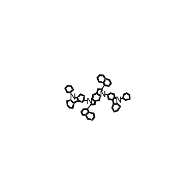 c1ccc(-n2c3ccccc3c3cc(-n4c(-c5cccc6ccccc56)cc5cc6c(cc(-c7cccc8ccccc78)n6-c6ccc7c(c6)c6ccccc6n7-c6ccccc6)cc54)ccc32)cc1